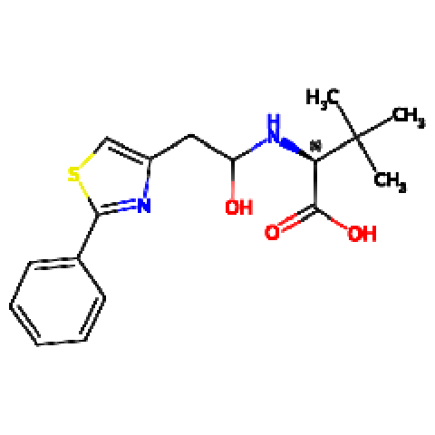 CC(C)(C)[C@H](NC(O)Cc1csc(-c2ccccc2)n1)C(=O)O